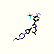 CC(C)Cc1nc(-c2cnc(N)c(OC(F)(F)F)c2)cn1C1C2CC(N3CCN(CCF)CC3)CC21